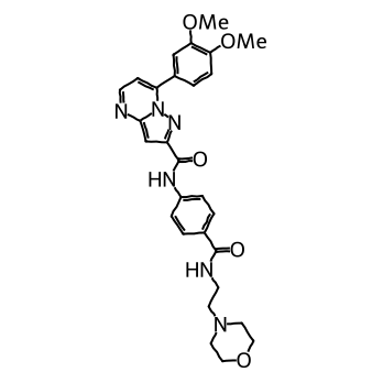 COc1ccc(-c2ccnc3cc(C(=O)Nc4ccc(C(=O)NCCN5CCOCC5)cc4)nn23)cc1OC